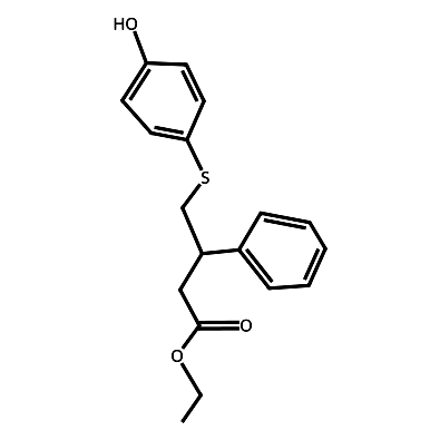 CCOC(=O)CC(CSc1ccc(O)cc1)c1ccccc1